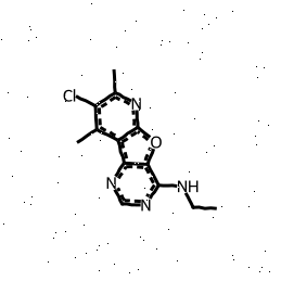 CCNc1ncnc2c1oc1nc(C)c(Cl)c(C)c12